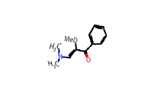 CO/C(=C\N(C)C)C(=O)c1ccccc1